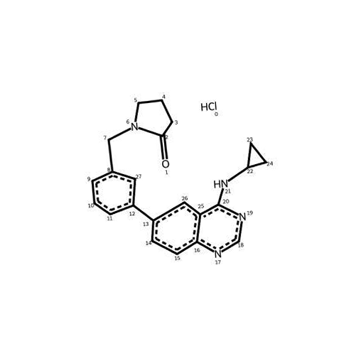 Cl.O=C1CCCN1Cc1cccc(-c2ccc3ncnc(NC4CC4)c3c2)c1